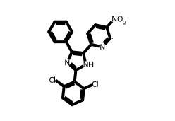 O=[N+]([O-])c1[c]nc(-c2[nH]c(-c3c(Cl)cccc3Cl)nc2-c2ccccc2)cc1